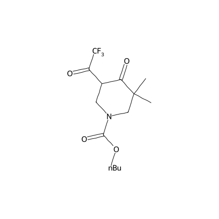 CCCCOC(=O)N1CC(C(=O)C(F)(F)F)C(=O)C(C)(C)C1